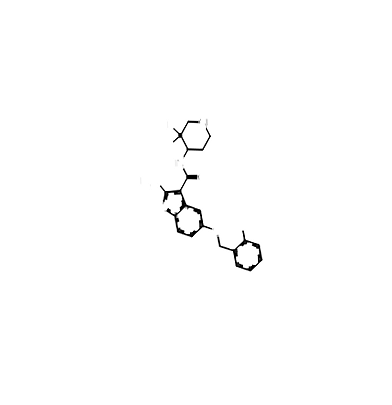 Cc1sc2ccc(OCc3ccccc3F)cc2c1C(=O)NC1CCNCC1(F)F